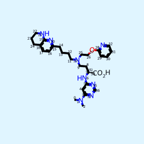 CN(C)c1cc(N[C@@H](CCN(CCCCc2ccc3c(n2)NCCC3)CCOc2ccccn2)C(=O)O)ncn1